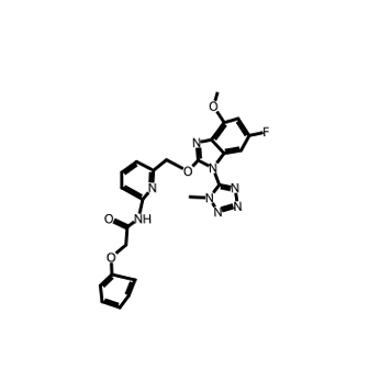 COc1cc(F)cc2c1nc(OCc1cccc(NC(=O)COc3ccccc3)n1)n2-c1nnnn1C